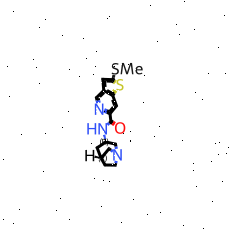 CSc1cc2cnc(C(=O)N[C@@H]3C[C@H]4CCN(C4)C3)cc2s1